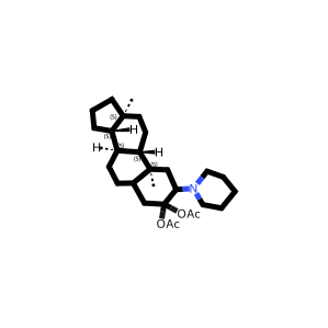 CC(=O)OC1(OC(C)=O)CC2CC[C@H]3[C@@H]4CCC[C@@]4(C)CC[C@@H]3[C@@]2(C)CC1N1CCCCC1